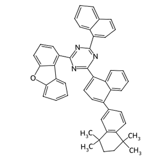 CC1(C)CCC(C)(C)c2cc(-c3ccc(-c4nc(-c5cccc6ccccc56)nc(-c5cccc6oc7ccccc7c56)n4)c4ccccc34)ccc21